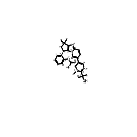 CN1CC(c2ccc3nc4c(n3c2)[C@@H](c2ccccc2OC(F)F)CC4(C)C)=CN=C1C(C)(C)O